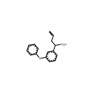 C=CCC(C(=O)O)c1cccc(Oc2ccccc2)c1